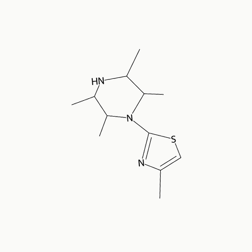 Cc1csc(N2C(C)C(C)NC(C)C2C)n1